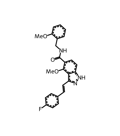 COc1ccccc1CNC(=O)c1ccc2[nH]nc(C=Cc3ccc(F)cc3)c2c1OC